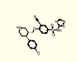 N#Cc1cc(S(=O)(=O)Nc2ncns2)ccc1OC[C@H]1CNCC[C@@H]1c1ccc(Cl)cc1